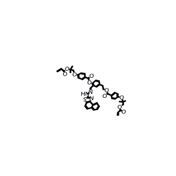 C=CC(=O)OCC(C)(C)Oc1ccc(C(=O)OCCc2ccc(OC(=O)c3ccc(OCC(C)(C)OC(=O)C=C)cc3)c(/C=N/Nc3nc4c(ccc5ccccc54)s3)c2)cc1